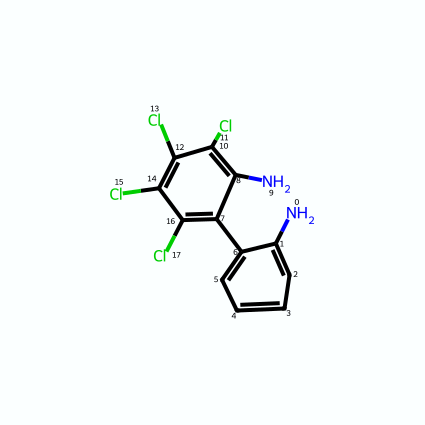 Nc1ccccc1-c1c(N)c(Cl)c(Cl)c(Cl)c1Cl